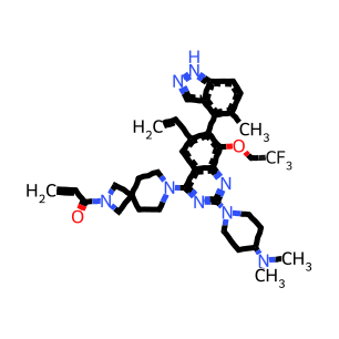 C=CC(=O)N1CC2(CCN(c3nc(N4CCC(N(C)C)CC4)nc4c(OCC(F)(F)F)c(-c5c(C)ccc6[nH]ncc56)c(C=C)cc34)CC2)C1